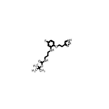 CC(C)(C)OC(=O)NCCCNc1cc(F)ccc1OCCc1c[nH]nn1